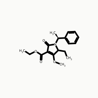 CCOC(=O)C1=C(OC)C(CC)N([C@@H](C)c2ccccc2)C1=O